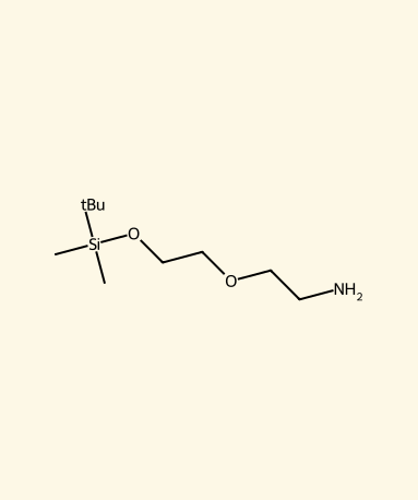 CC(C)(C)[Si](C)(C)OCCOCCN